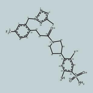 Cc1nnn(Cc2cc(C(F)(F)F)ccc2CCC(=O)N2CCC(c3nc(S)c(S(N)(=O)=O)cc3F)CC2)n1